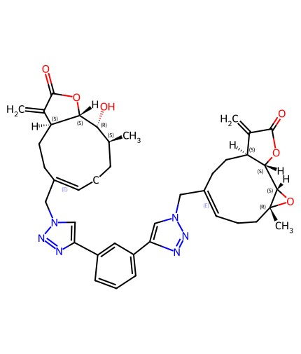 C=C1C(=O)O[C@@H]2[C@H](O)[C@@H](C)CC/C=C(/Cn3cc(-c4cccc(-c5cn(C/C6=C/CC[C@@]7(C)O[C@H]7[C@H]7OC(=O)C(=C)[C@@H]7CC6)nn5)c4)nn3)CC[C@@H]12